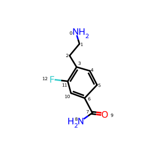 NCCc1ccc(C(N)=O)cc1F